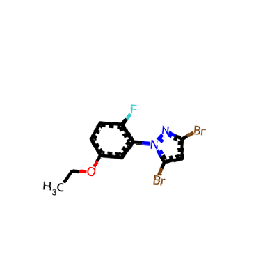 CCOc1ccc(F)c(-n2nc(Br)cc2Br)c1